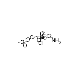 C=CC(c1ccc(CN)cc1)S(=O)(=O)N(CCCl)CC(Cl)CCOc1ccc(C(=O)OCC)cc1